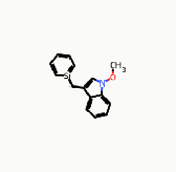 COn1cc([CH][si]2ccccc2)c2ccccc21